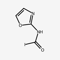 O=C(I)Nc1ncco1